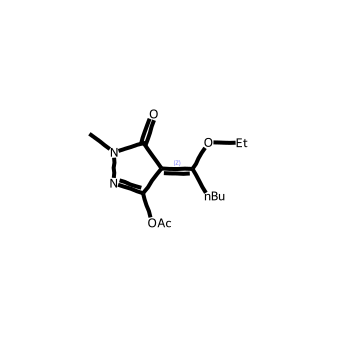 CCCC/C(OCC)=C1/C(=O)N(C)N=C1OC(C)=O